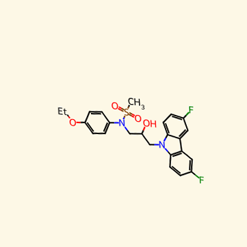 CCOc1ccc(N(CC(O)Cn2c3ccc(F)cc3c3cc(F)ccc32)S(C)(=O)=O)cc1